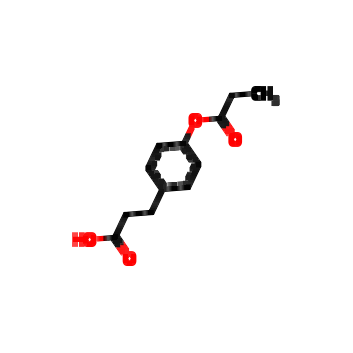 CCC(=O)Oc1ccc(CCC(=O)O)cc1